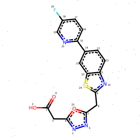 O=C(O)Cc1nnc(Cc2nc3ccc(-c4ccc(F)cn4)cc3s2)o1